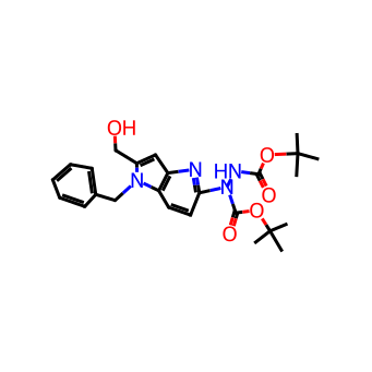 CC(C)(C)OC(=O)NN(C(=O)OC(C)(C)C)c1ccc2c(cc(CO)n2Cc2ccccc2)n1